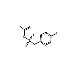 CC(=O)OS(=O)(=O)Cc1ccc(F)cc1